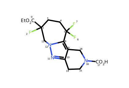 CCOC(=O)C1(F)CCC(F)(F)c2c3c(nn2C1)CCN(C(=O)O)C3